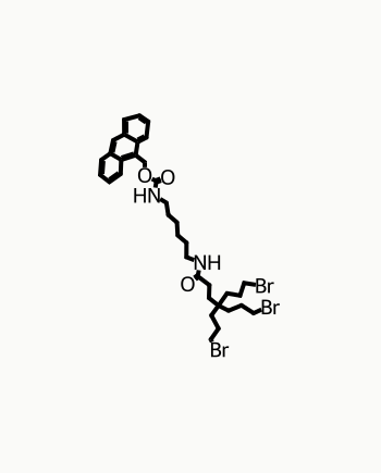 O=C(CCC(CCCBr)(CCCBr)CCCBr)NCCCCCCNC(=O)OCc1c2ccccc2cc2ccccc12